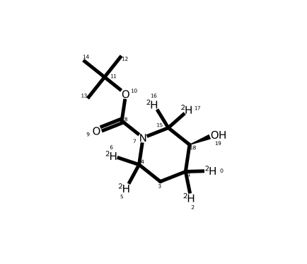 [2H]C1([2H])CC([2H])([2H])N(C(=O)OC(C)(C)C)C([2H])([2H])[C@H]1O